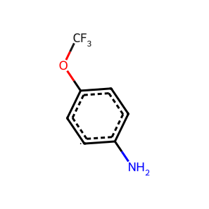 Nc1[c]cc(OC(F)(F)F)cc1